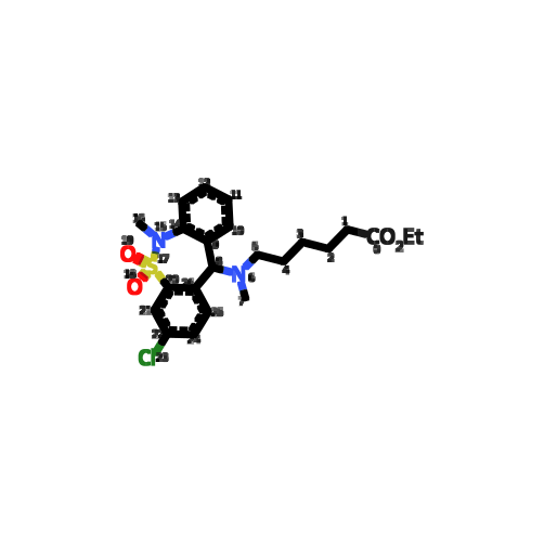 CCOC(=O)CCCCCN(C)C1c2ccccc2N(C)S(=O)(=O)c2cc(Cl)ccc21